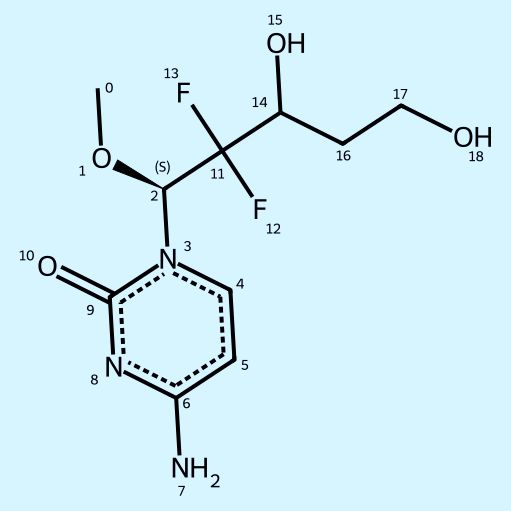 CO[C@H](n1ccc(N)nc1=O)C(F)(F)C(O)CCO